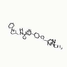 Cn1ncc(COc2ccc(-c3cn(C(=O)NCC4CCN(c5ccccc5)C4)cn3)cc2)n1